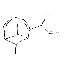 C=CC(N)C1=CC=CC2C(C)C1C2C